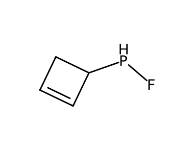 FPC1C=CC1